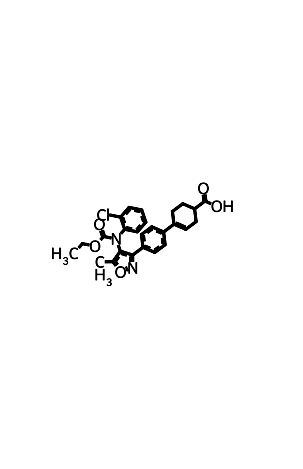 CCOC(=O)N(c1ccccc1Cl)c1c(-c2ccc(C3=CCC(C(=O)O)CC3)cc2)noc1C